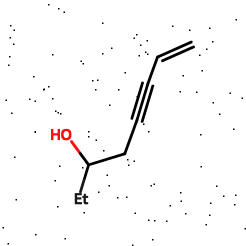 C=CC#CCC(O)CC